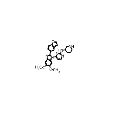 COc1cc2nc(-c3ccc4occc4c3)n(-c3ccnc(NC4CCCNC4)n3)c2cc1OC